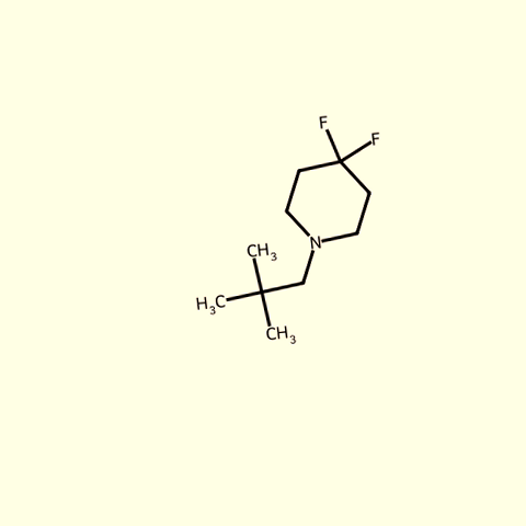 CC(C)(C)CN1CCC(F)(F)CC1